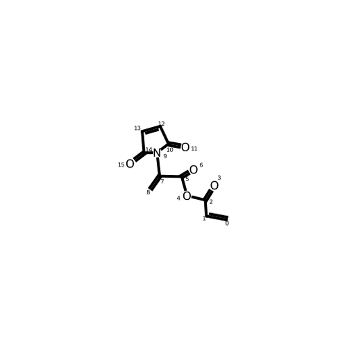 C=CC(=O)OC(=O)C(=C)N1C(=O)C=CC1=O